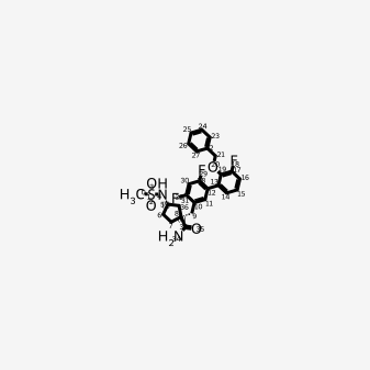 CS(=O)(=O)N[C@H]1CC[C@](Cc2cc(-c3cccc(F)c3OCc3ccccc3)c(F)cc2F)(C(N)=O)C1